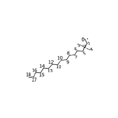 [CH2]CC(C)(C)CCCCCCCCCCCCCC